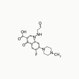 CN1CCN(c2cc3c(cc2F)c(=O)c(C(=O)O)cn3NCC=O)CC1